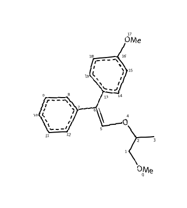 COCC(C)OC=C(c1ccccc1)c1ccc(OC)cc1